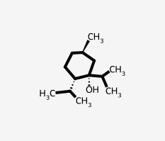 CC(C)[C@@H]1CC[C@@H](C)C[C@@]1(O)C(C)C